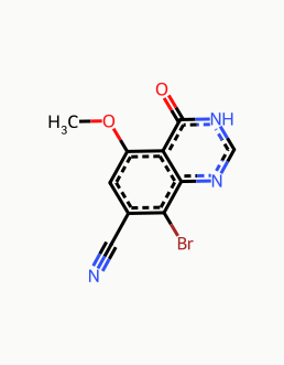 COc1cc(C#N)c(Br)c2nc[nH]c(=O)c12